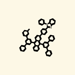 CC1C=C(c2cc(-c3ccccc3)cc(-c3c4ccccc4c(-c4cc(-c5ccccc5)cc(-c5ccccc5)c4)c4cc(-c5ccc(-c6nc7ccccc7n6-c6ccccc6)cc5)ccc34)c2)C=CC1